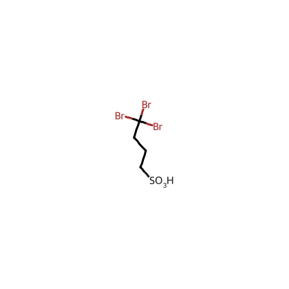 O=S(=O)(O)CCCC(Br)(Br)Br